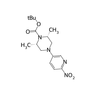 C[C@@H]1CN(c2ccc([N+](=O)[O-])nc2)C[C@H](C)N1C(=O)OC(C)(C)C